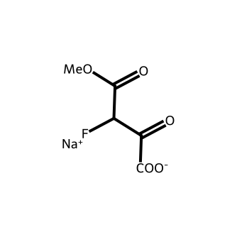 COC(=O)C(F)C(=O)C(=O)[O-].[Na+]